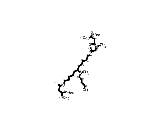 CCCCCCCCC(CCCCCC)CC(=O)OCCCCCC(CCCCCOC(=O)CN(C)C(=O)CC(CCCCCC)CCCCCCCC)N(C)CCCCO